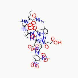 CCCC[C@H](NC(=O)[C@H](CC(C)C)NC(=O)[C@@H](NC(=O)[C@H](Cc1ccccc1C)NC(=O)[C@H](CCC(=O)O)NC(=O)[C@H](Cc1cn(-c2ccc([N+](=O)[O-])cc2[N+](=O)[O-])cn1)NC(=O)CCC(=O)O)C(C)(C)C)C(=O)C(N)=O